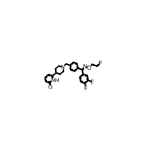 O=c1cccc(C2CCN(Cc3ccc(C(=NOCCF)c4ccc(F)c(F)c4)cc3)CC2)[nH]1